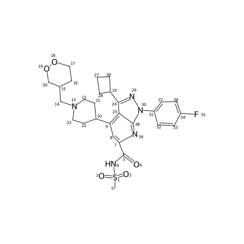 CS(=O)(=O)NC(=O)c1cc(C2CCN(CC3CCOOC3)CC2)c2c(C3CCC3)nn(-c3ccc(F)cc3)c2n1